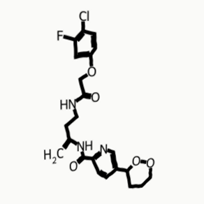 C=C(CCNC(=O)COc1ccc(Cl)c(F)c1)NC(=O)c1ccc(C2CCCOO2)cn1